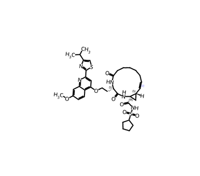 COc1ccc2c(OCC[C@@H]3NC(=O)CCCCC/C=C\[C@@H]4C[C@@]4(C(=O)NS(=O)(=O)C4CCCC4)NC3=O)cc(-c3nc(C(C)C)cs3)nc2c1